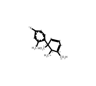 Cc1cc(F)ccc1C1(C(=O)O)C=CC=C(C(=O)O)C1C